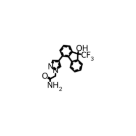 NC(=O)Cn1cc(-c2cccc3c2-c2ccccc2C3(O)C(F)(F)F)cn1